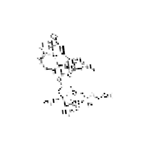 CCOP(=O)(COCC(CC(C)(C)C)ON(O[SiH](C)C)C12N=CN=C(Cl)C1(NC=O)NC=N2)OCC